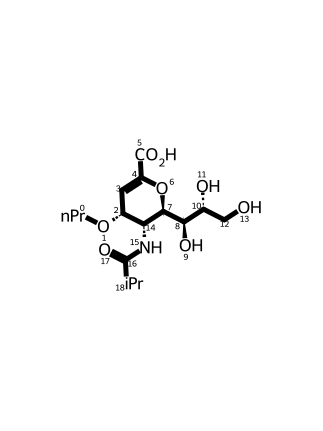 CCCO[C@@H]1C=C(C(=O)O)O[C@@H]([C@H](O)[C@H](O)CO)[C@@H]1NC(=O)C(C)C